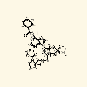 CC(C)(C)OC(=O)N1CCCC12CN(CC1OC(n3cnc4c(NC(=O)c5ccccc5)ncnc43)[C@@H]3OC(C)(C)O[C@H]13)C2